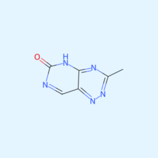 Cc1nnc2cnc(=O)[nH]c2n1